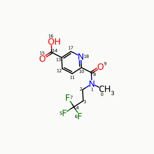 CN(CCC(F)(F)F)C(=O)c1ccc(C(=O)O)cn1